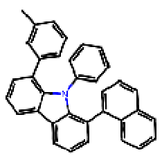 Cc1cccc(-c2cccc3c4cccc(-c5cccc6ccccc56)c4n(-c4ccccc4)c23)c1